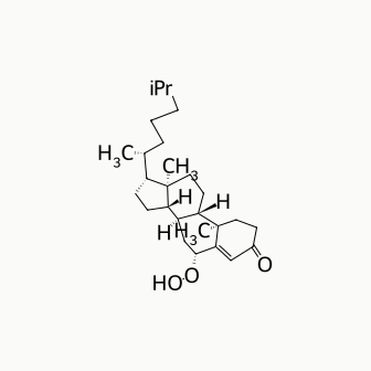 CC(C)CCC[C@@H](C)[C@H]1CC[C@H]2[C@@H]3C[C@@H](OO)C4=CC(=O)CC[C@]4(C)[C@H]3CC[C@]12C